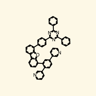 c1ccc(-c2nc(-c3ccccc3)nc(-c3ccc(-c4cccc5c4oc4c(-c6cc(-c7cccnc7)ccc6-c6cccnc6)cccc45)cc3)n2)cc1